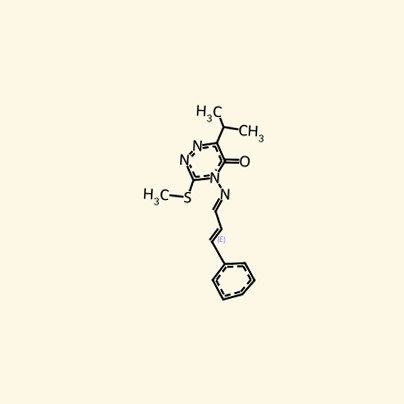 CSc1nnc(C(C)C)c(=O)n1N=C/C=C/c1ccccc1